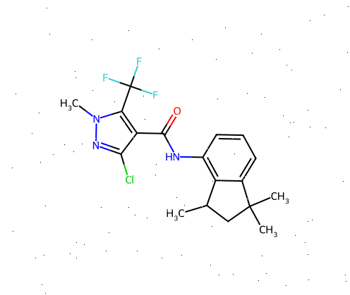 CC1CC(C)(C)c2cccc(NC(=O)c3c(Cl)nn(C)c3C(F)(F)F)c21